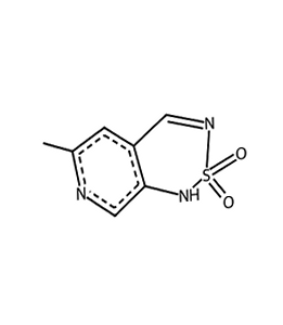 Cc1cc2c(cn1)NS(=O)(=O)N=C2